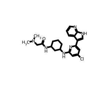 CN(C)CC(=O)NC1CCCC(Nc2cc(Cl)cc(-c3c[nH]c4ncccc34)n2)C1